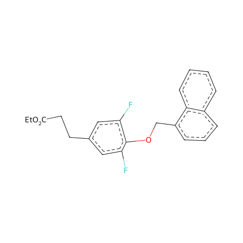 CCOC(=O)CCc1cc(F)c(OCc2cccc3ccccc23)c(F)c1